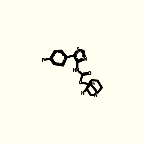 O=C(Nc1ncsc1-c1ccc(F)cc1)O[C@H]1CN2CCC1CC2